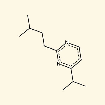 CC(C)CCc1nccc(C(C)C)n1